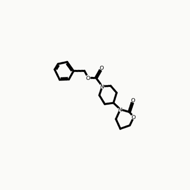 O=C(OCc1ccccc1)N1CCC(N2CCCOC2=O)CC1